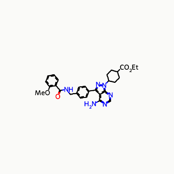 CCOC(=O)C1CCC(n2nc(-c3ccc(CNC(=O)c4ccccc4OC)cc3)c3c(N)ncnc32)CC1